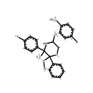 CCOC1(c2ccccc2)OCC(C(F)(F)F)NC1(c1ccc(F)cc1)C(F)(F)F.Cc1ccc(S(=O)(=O)O)cc1